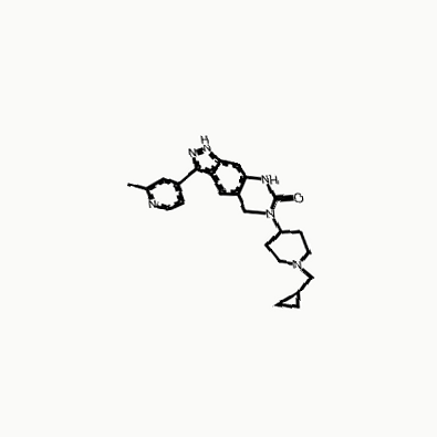 Cc1cc(-c2n[nH]c3cc4c(cc23)CN(C2CCN(CC3CC3)CC2)C(=O)N4)ccn1